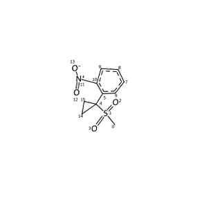 CS(=O)(=O)C1(c2ccccc2[N+](=O)[O-])CC1